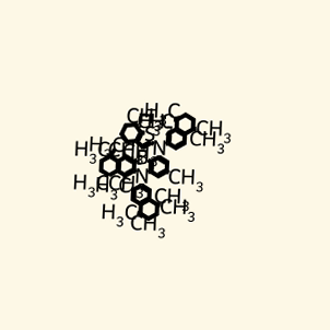 Cc1cc2c3c(c1)N(c1ccc4c(c1)C(C)(C)CCC4(C)C)c1sc4c(c1B3c1cc3c(cc1N2c1cc2c(cc1C)C(C)(C)CCC2(C)C)C(C)(C)CCC3(C)C)C(C)(C)CCC4(C)C